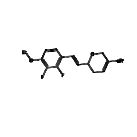 CCCC1=CCC(/C=C/c2ccc(OCC)c(F)c2F)OC1